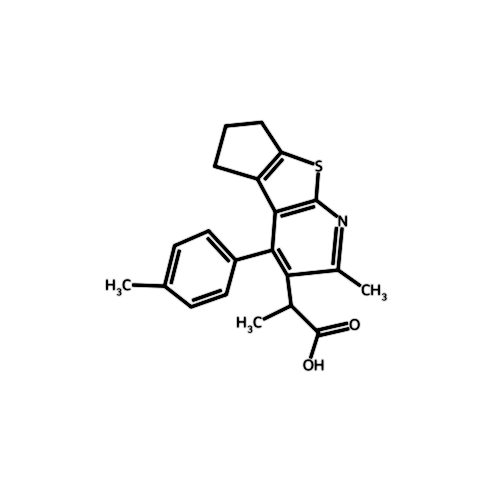 Cc1ccc(-c2c(C(C)C(=O)O)c(C)nc3sc4c(c23)CCC4)cc1